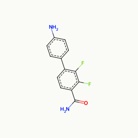 NC(=O)c1ccc(-c2ccc(N)cc2)c(F)c1F